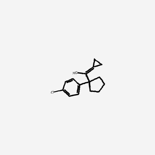 OC(=C1CC1)C1(c2ccc(Cl)cc2)CCCC1